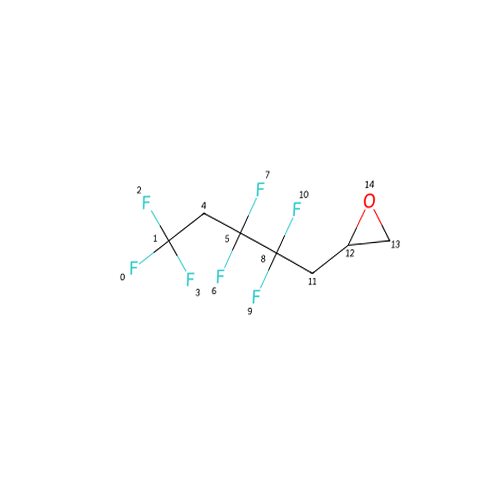 FC(F)(F)CC(F)(F)C(F)(F)CC1CO1